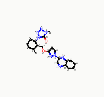 Cc1cccc(-n2nnn(C)c2=O)c1COc1ccn(-c2cnc3ccccc3n2)n1